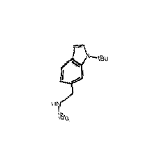 CC(C)(C)NCc1ccc2ccn(C(C)(C)C)c2c1